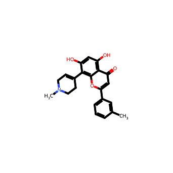 Cc1cccc(-c2cc(=O)c3c(O)cc(O)c(C4=CCN(C)CC4)c3o2)c1